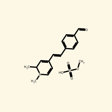 CC1C=C(C=Cc2ccc(C=O)cc2)C=CN1C.COS(=O)(=O)O